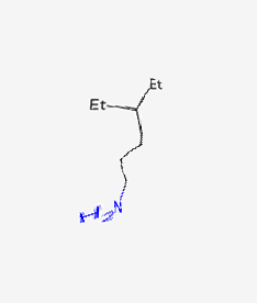 CCC(CC)CCCN